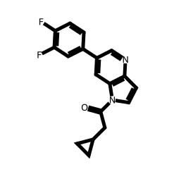 O=C(CC1CC1)n1ccc2ncc(-c3ccc(F)c(F)c3)cc21